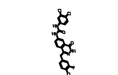 O=C(Nc1ccc(Cl)c(Cl)c1)Nc1ccc2c(Cc3ccc(Cl)c(F)c3)n[nH]c(=O)c2c1